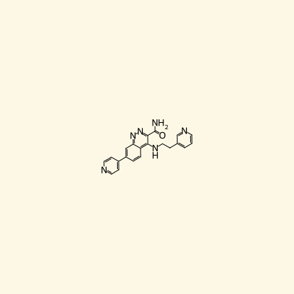 NC(=O)c1nnc2cc(-c3ccncc3)ccc2c1NCCc1cccnc1